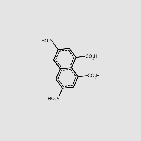 O=C(O)c1cc(S(=O)(=O)O)cc2cc(S(=O)(=O)O)cc(C(=O)O)c12